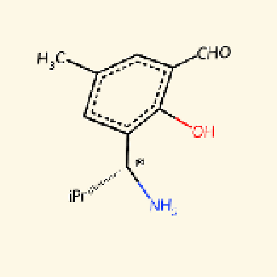 Cc1cc(C=O)c(O)c([C@H](N)C(C)C)c1